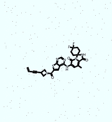 C=CC#CC1CN(C(=O)c2cc3c(Nc4cc(C)c5n(c4=O)C4(CCC(F)(F)CC4)NC5=O)ncnc3s2)C1